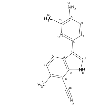 Cc1ccc2c(-c3ccc(N)c(C)n3)c[nH]c2c1C#N